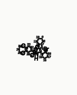 O=S(=O)(N[C@@H](c1cc2ccccc2o1)c1ccccc1Br)c1ccc2c(c1)OCCCO2